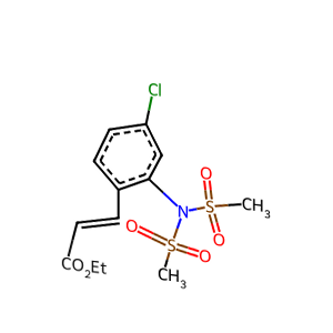 CCOC(=O)C=Cc1ccc(Cl)cc1N(S(C)(=O)=O)S(C)(=O)=O